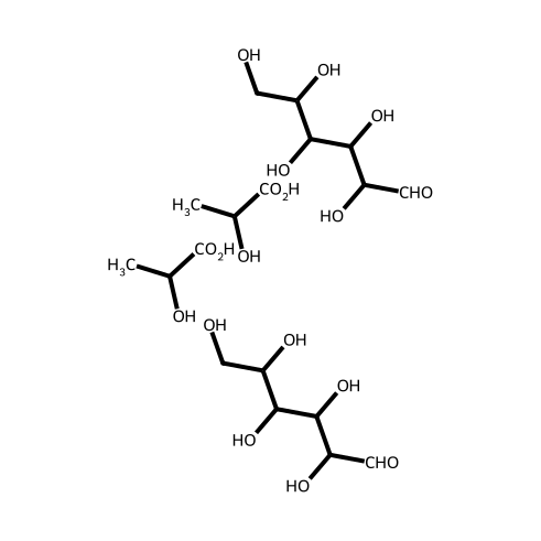 CC(O)C(=O)O.CC(O)C(=O)O.O=CC(O)C(O)C(O)C(O)CO.O=CC(O)C(O)C(O)C(O)CO